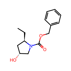 CC[C@@H]1C[C@@H](O)CN1C(=O)OCc1ccccc1